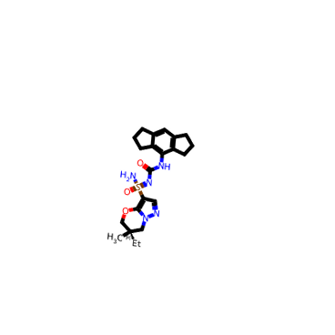 CC[C@@]1(C)COc2c(S(N)(=O)=NC(=O)Nc3c4c(cc5c3CCC5)CCC4)cnn2C1